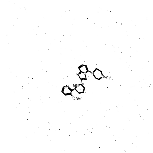 COc1cccnc1C1CCC[C@H](c2cn3c(N4CCN(C)CC4)cccc3n2)N1